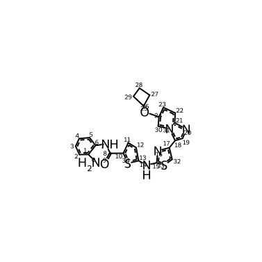 Nc1ccccc1NC(=O)c1ccc(Nc2nc(-c3cnc4ccc(OC5CCC5)cn34)cs2)s1